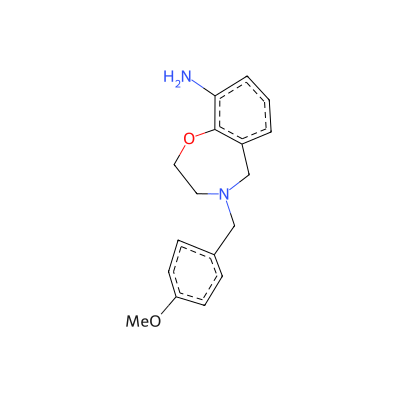 COc1ccc(CN2CCOc3c(N)cccc3C2)cc1